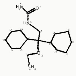 CCOC(CNC(N)=O)(C1CCCCC1)C1CCCCC1